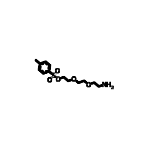 Cc1ccc(S(=O)(=O)OCCOCCOCCN)cc1